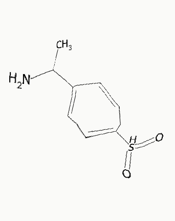 CC(N)c1ccc([SH](=O)=O)cc1